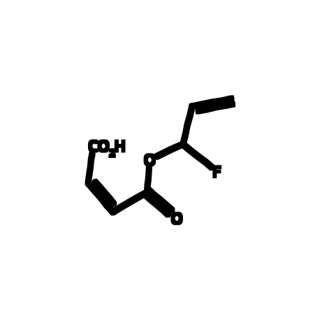 C=CC(F)OC(=O)/C=C\C(=O)O